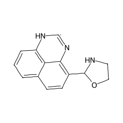 [C]1=Nc2c(C3NCCO3)ccc3cccc(c23)N1